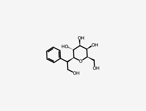 OCC(c1ccccc1)[C@@H]1O[C@H](CO)[C@H](O)[C@H](O)[C@H]1O